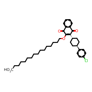 O=C(O)CCCCCCCCCCCCCCCOC1=C([C@H]2CC[C@H](c3ccc(Cl)cc3)CC2)C(=O)c2ccccc2C1=O